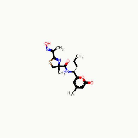 CCC[C@@H](NC(=O)C1(C)CSC(/C(C)=N/O)=N1)c1cc(C)cc(=O)o1